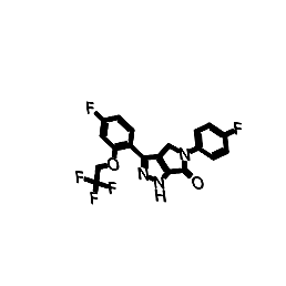 O=C1c2[nH]nc(-c3ccc(F)cc3OCC(F)(F)F)c2CN1c1ccc(F)cc1